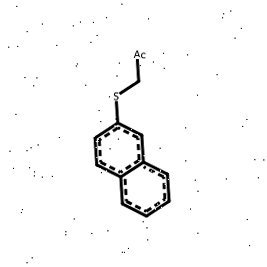 CC(=O)CSc1ccc2ccccc2c1